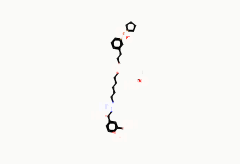 CC(=O)O.O=S(=O)(c1cccc(CCCOCCCCCCCNC[C@H](O)c2ccc(O)c(CO)c2)c1)C1CCCC1